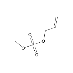 C=CCOS(=O)(=O)OC